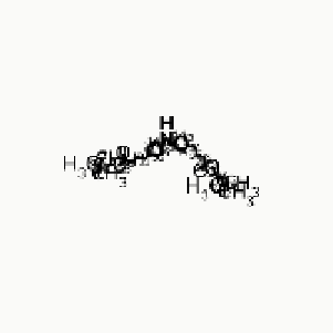 C[Si](C)(C)CCOC(=O)CCCc1ccc(Nc2ccc(CCCC(=O)OCC[Si](C)(C)C)cc2)cc1